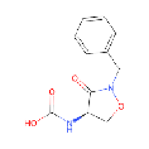 O=C(O)N[C@@H]1CON(Cc2ccccc2)C1=O